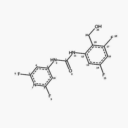 O=C(Nc1cc(F)nc(F)c1)Nc1cc(F)cc(F)c1CO